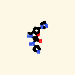 CC(Nc1c(Nc2ccncc2)c(=O)c1=O)c1ccc(-n2ccnc2)cc1